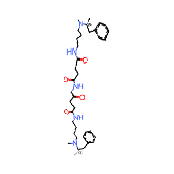 C[C@@H](Cc1ccccc1)N(C)CCCCNC(=O)CCC(=O)CNC(=O)CCC(=O)NCCCCN(C)[C@@H](C)Cc1ccccc1